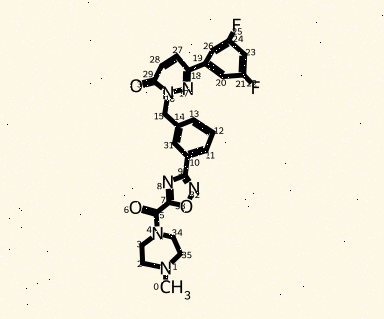 CN1CCN(C(=O)c2nc(-c3cccc(Cn4nc(-c5cc(F)cc(F)c5)ccc4=O)c3)no2)CC1